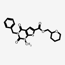 Cn1c(=O)n(Cc2ccccc2)c(=O)c2cc(C(=O)OCC3CCCCO3)sc21